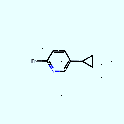 CC(C)c1ccc(C2CC2)cn1